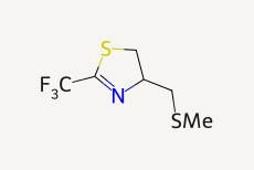 CSCC1CSC(C(F)(F)F)=N1